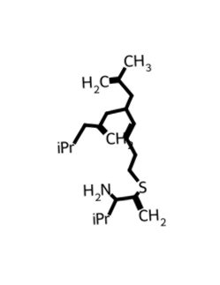 C=C(C)CC(/C=C/CCSC(=C)C(N)C(C)C)CC(=C)CC(C)C